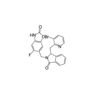 O=C1c2ccccc2C(Cc2ncccc2Br)N1Cc1cc2oc(=O)[nH]c2cc1F